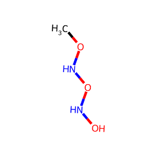 CONONO